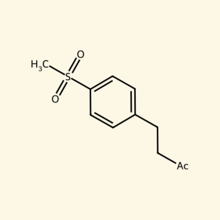 CC(=O)CCc1ccc(S(C)(=O)=O)cc1